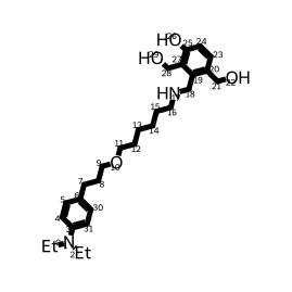 CCN(CC)c1ccc(CCCOCCCCCCNCc2c(CO)ccc(O)c2CO)cc1